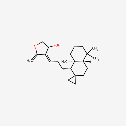 C=C1OCC(O)/C1=C\CC[C@H]1C2(CC[C@H]3C(C)(C)CCC[C@@]31C)CC2